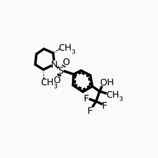 C[C@@H]1CCC[C@H](C)N1S(=O)(=O)c1ccc(C(C)(O)C(F)(F)F)cc1